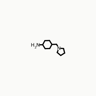 NC1CCC(CN2CCCC2)CC1